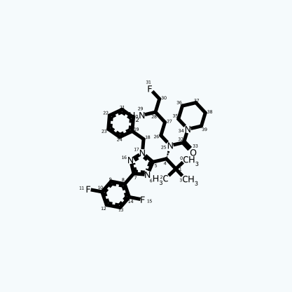 CC(C)(C)[C@H](c1nc(-c2cc(F)ccc2F)nn1Cc1ccccc1)N(CCC(N)CF)C(=O)N1CCCCC1